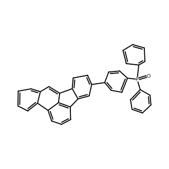 O=P(c1ccccc1)(c1ccccc1)c1ccc(-c2ccc3c(c2)-c2cccc4c2c-3cc2ccccc24)cc1